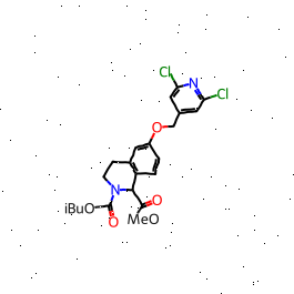 COC(=O)C1c2ccc(OCc3cc(Cl)nc(Cl)c3)cc2CCN1C(=O)OCC(C)C